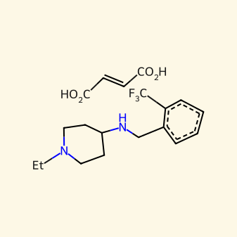 CCN1CCC(NCc2ccccc2C(F)(F)F)CC1.O=C(O)C=CC(=O)O